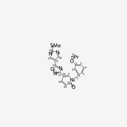 CCCOc1cccc(Cn2cc(-c3noc(-c4cnc(SC)nc4)n3)ccc2=O)c1